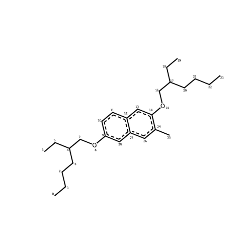 CCCCC(CC)COc1ccc2cc(OCC(CC)CCCC)c(C)cc2c1